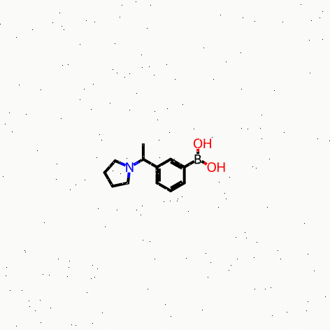 CC(c1cccc(B(O)O)c1)N1CCCC1